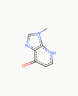 Cn1cnc2c(=O)cc[nH]c21